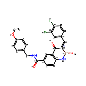 COc1ccc(CNC(=O)c2ccc3c(c2)C(=O)/C(=C\c2ccc(F)c(F)c2)[S+]([O-])N3)cc1